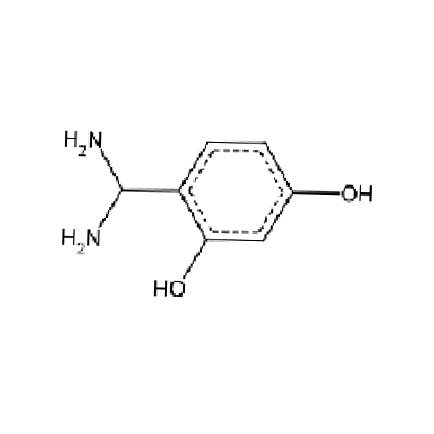 NC(N)c1ccc(O)cc1O